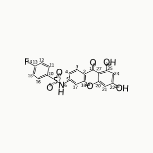 O=c1c2ccc(NS(=O)(=O)c3ccc(F)cc3)cc2oc2cc(O)cc(O)c12